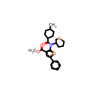 COC(=O)c1cc(-c2ccccc2)sc1N(C(=O)C1CCC(C)CC1)C1CCCSC1